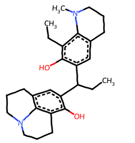 CCc1c(O)c(C(CC)c2cc3c4c(c2O)CCCN4CCC3)cc2c1N(C)CCC2